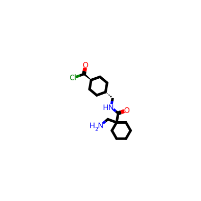 NCC1(C(=O)NC[C@H]2CC[C@H](C(=O)Cl)CC2)CCCCC1